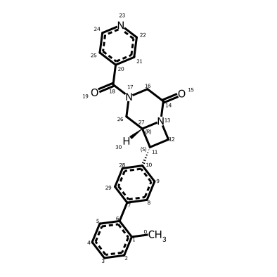 Cc1ccccc1-c1ccc([C@H]2CN3C(=O)CN(C(=O)c4ccncc4)C[C@@H]23)cc1